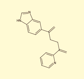 C=C(CCC(=C)c1ccccn1)c1ccc2[nH]cnc2c1